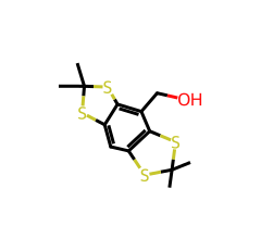 CC1(C)Sc2cc3c(c(CO)c2S1)SC(C)(C)S3